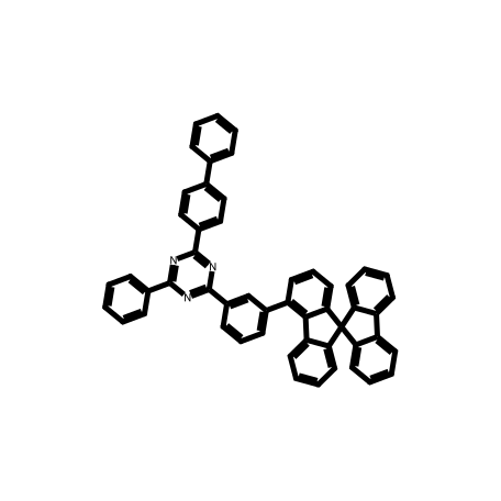 c1ccc(-c2ccc(-c3nc(-c4ccccc4)nc(-c4cccc(-c5cccc6c5-c5ccccc5C65c6ccccc6-c6ccccc65)c4)n3)cc2)cc1